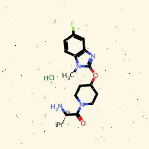 CC(C)[C@H](N)C(=O)N1CCC(Oc2nc3cc(F)ccc3n2C)CC1.Cl